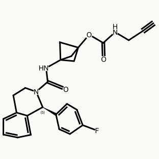 C#CCNC(=O)OC12CC(NC(=O)N3CCc4ccccc4[C@@H]3c3ccc(F)cc3)(C1)C2